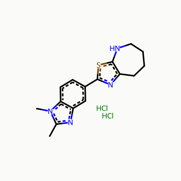 Cc1nc2cc(-c3nc4c(s3)NCCCC4)ccc2n1C.Cl.Cl